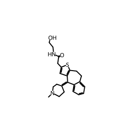 CN1CCC(=C2c3ccccc3CCc3sc(CC(=O)NCCO)cc32)CC1